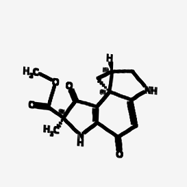 COC(=O)[C@]1(C)NC2=C(C1=O)[C@@]13C[C@@H]1CNC3=CC2=O